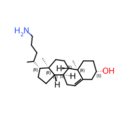 CC(CCCN)[C@H]1CC[C@H]2[C@@H]3CC=C4C[C@@H](O)CC[C@]4(C)[C@H]3CC[C@]12C